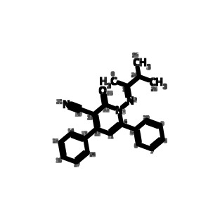 CC(=Nn1c(-c2ccccc2)cc(-c2ccccc2)c(C#N)c1=O)C(C)C